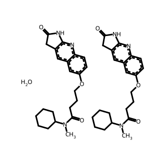 CN(C(=O)CCCOc1ccc2nc3c(cc2c1)CC(=O)N3)C1CCCCC1.CN(C(=O)CCCOc1ccc2nc3c(cc2c1)CC(=O)N3)C1CCCCC1.O